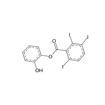 O=C(Oc1ccccc1O)c1c(I)ccc(I)c1I